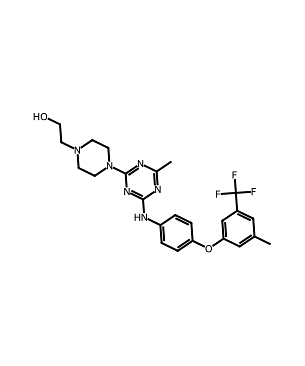 Cc1cc(Oc2ccc(Nc3nc(C)nc(N4CCN(CCO)CC4)n3)cc2)cc(C(F)(F)F)c1